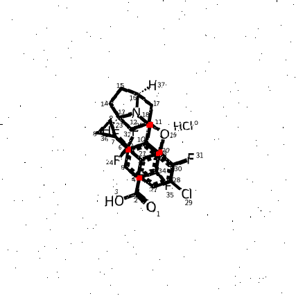 Cl.O=C(O)c1cc(C2CC2)c(CN2[C@@H]3CC[C@H]2CC(Oc2c(C(F)(F)F)ccc(Cl)c2F)C3)cc1F